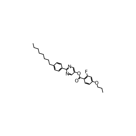 CCCCCCCCc1ccc(-c2ncc(OC(=O)c3ccc(OCCC)cc3F)cn2)cc1